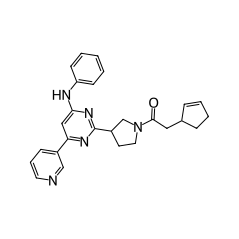 O=C(CC1C=CCC1)N1CCC(c2nc(Nc3ccccc3)cc(-c3cccnc3)n2)C1